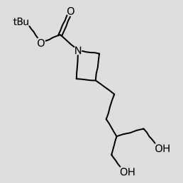 CC(C)(C)OC(=O)N1CC(CCC(CO)CO)C1